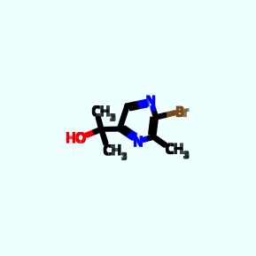 Cc1nc(C(C)(C)O)cnc1Br